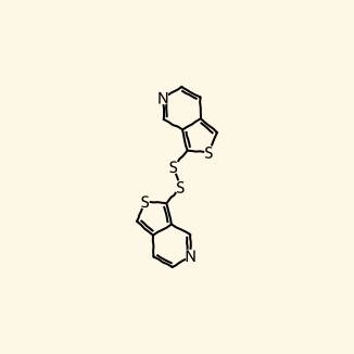 c1cc2csc(SSc3scc4ccncc34)c2cn1